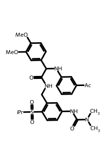 COc1ccc(C(Nc2cccc(C(C)=O)c2)C(=O)NCc2cc(NC(=O)N(C)C)ccc2S(=O)(=O)C(C)C)cc1OC